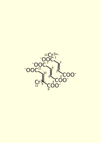 O=C([O-])/C=C/C(=O)[O-].O=C([O-])/C=C/C(=O)[O-].O=C([O-])/C=C/C(=O)[O-].[Cr+3].[Cr+3]